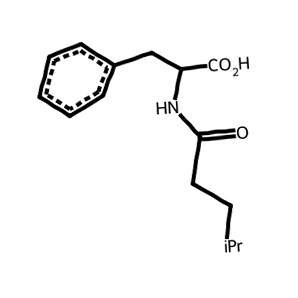 CC(C)CCC(=O)NC(Cc1ccccc1)C(=O)O